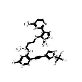 C[C@H](CCOc1c(-c2nccc(N)n2)cnn1C)Nc1cc(Cl)ncc1C#Cc1cnn(C(F)(F)F)c1